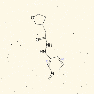 C=N/N=C(\C=C/C)NNC(=O)CC1CCOC1